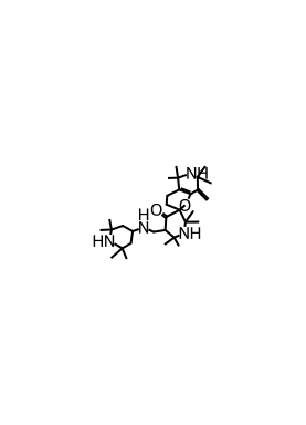 C=C1C2=C(CCC3(O2)C(=O)C(CNC2CC(C)(C)NC(C)(C)C2)C(C)(C)NC3(C)C)C(C)(C)NC1(C)C